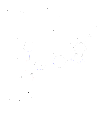 CC(C)(C)OC(=O)N1C[C@@H](N2CCC(n3cnc4cc(C(F)(F)F)ccc43)CC2)C[C@H]1C(=O)N1CCSC1